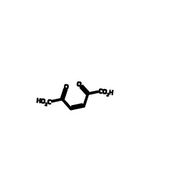 O=C(O)C(=O)/C=C\C(=O)C(=O)O